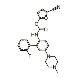 CN1CCN(c2ccc(NC(=O)Oc3ccc(C#N)o3)c(-c3ccccc3F)c2)CC1